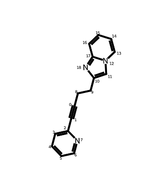 C(#Cc1ccccn1)CCc1cn2ccccc2n1